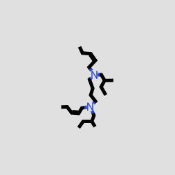 CC/C=C\CN(CCCCN(C/C=C\CC)CC(C)CC)CC(C)CC